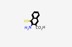 Nc1c(C(=O)O)cc2ccccc2c1S